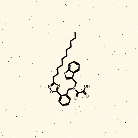 CCCCCCCCCCCc1noc(-c2ccccc2CN(Cc2csc3ccccc23)C(=O)C(=O)O)n1